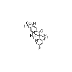 CC(C)(C(=O)c1ccc(NC(=O)O)cn1)c1ncc(F)cc1F